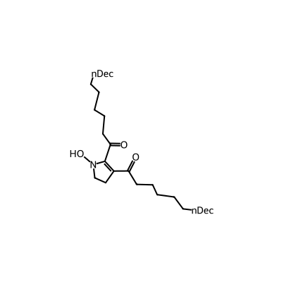 CCCCCCCCCCCCCCCC(=O)C1=C(C(=O)CCCCCCCCCCCCCCC)N(O)CC1